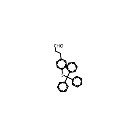 O=CCCc1ccc(SC(c2ccccc2)(c2ccccc2)c2ccccc2)cc1